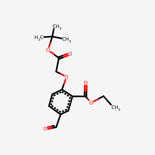 CCOC(=O)c1cc(C=O)ccc1OCC(=O)OC(C)(C)C